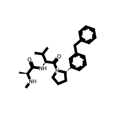 CN[C@@H](C)C(=O)N[C@@H](C(=O)N1CCC[C@H]1c1cccc(Cc2ccccc2)c1)C(C)C